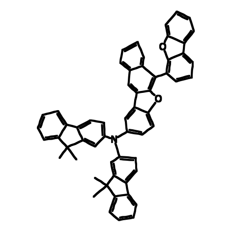 CC1(C)c2ccccc2-c2ccc(N(c3ccc4c(c3)C(C)(C)c3ccccc3-4)c3ccc4oc5c(-c6cccc7c6oc6ccccc67)c6ccccc6cc5c4c3)cc21